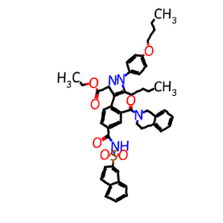 CCCCOc1ccc(-n2nc(C(=O)OCC)c(-c3ccc(C(=O)NS(=O)(=O)c4ccc5ccccc5c4)cc3C(=O)N3CCc4ccccc4C3)c2CCCC)cc1